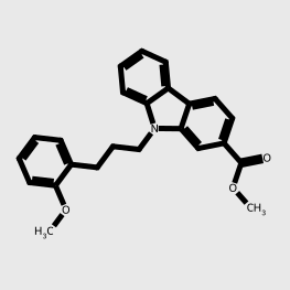 COC(=O)c1ccc2c3ccccc3n(CCCc3ccccc3OC)c2c1